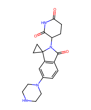 O=C1CCC(N2C(=O)c3ccc(N4CCNCC4)cc3C23CC3)C(=O)N1